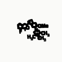 COc1cc2c(cc1N1CC(C)N(C)C(C)C1)N(C(=O)Cc1cccc(F)c1F)CC2